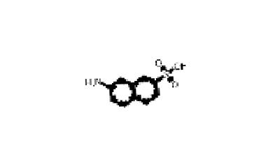 Nc1[c]c2cc(S(=O)(=O)O)ccc2cc1